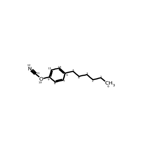 CCCCCCc1ccc(OC#N)cc1